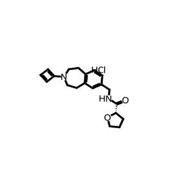 Cl.O=C(NCc1ccc2c(c1)CCN(C1=CC=C1)CC2)[C@@H]1CCCO1